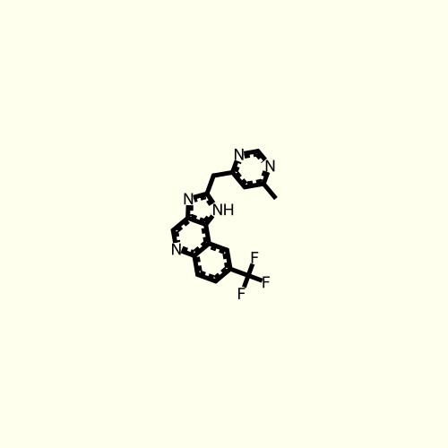 Cc1cc(Cc2nc3cnc4ccc(C(F)(F)F)cc4c3[nH]2)ncn1